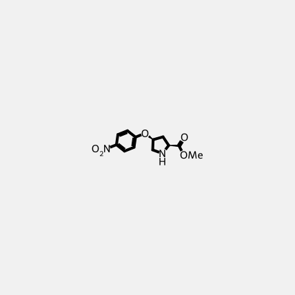 COC(=O)[C@@H]1C[C@H](Oc2ccc([N+](=O)[O-])cc2)CN1